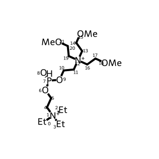 CC[N+](CC)(CC)CCO[PH](=O)OCC[N+](CCOC)(CCOC)CCOC